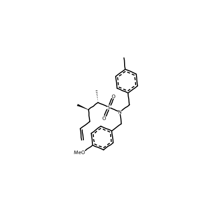 C=CC[C@@H](C)[C@H](C)S(=O)(=O)N(Cc1ccc(C)cc1)Cc1ccc(OC)cc1